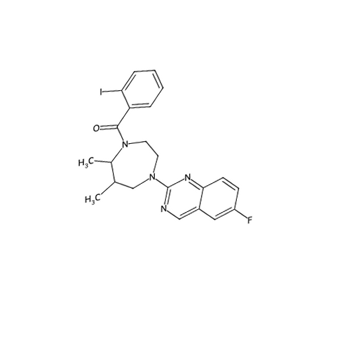 CC1CN(c2ncc3cc(F)ccc3n2)CCN(C(=O)c2ccccc2I)C1C